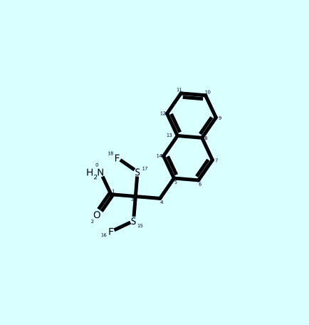 NC(=O)C(Cc1ccc2ccccc2c1)(SF)SF